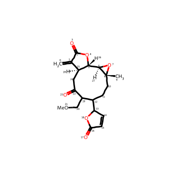 C=C1C(=O)O[C@@H]2[C@H]3O[C@]3(C)CCC(C3C=CC(=O)O3)C(COC)C(=O)C[C@@H]12